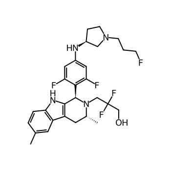 Cc1ccc2[nH]c3c(c2c1)C[C@@H](C)N(CC(F)(F)CO)[C@@H]3c1c(F)cc(N[C@H]2CCN(CCCF)C2)cc1F